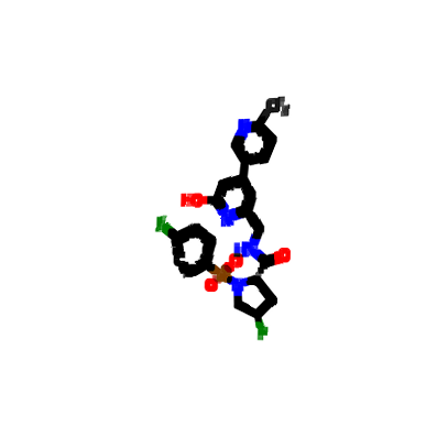 O=C(NCc1cc(-c2ccc(C(F)(F)F)nc2)cc(O)n1)[C@@H]1C[C@@H](F)CN1S(=O)(=O)c1ccc(F)cc1